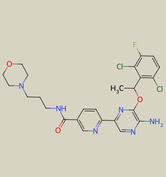 CC(Oc1nc(-c2ccc(C(=O)NCCCN3CCOCC3)cn2)cnc1N)c1c(Cl)ccc(F)c1Cl